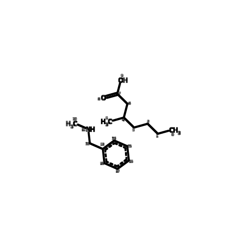 CCCCC(C)CC(=O)O.CNCc1ccccc1